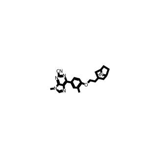 Cc1cc(-c2nc(C#N)nc3c2ncn3C)ccc1OCCC1CC2CCC(C1)N2